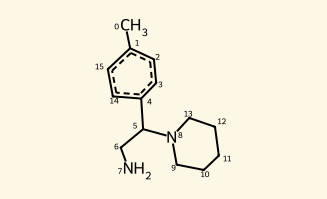 Cc1ccc(C(CN)N2CCCCC2)cc1